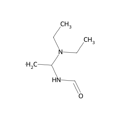 [CH2]C(NC=O)N(CC)CC